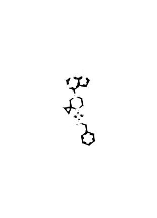 CN(Cc1ccccc1)S(=O)(=O)N1CCN(c2ncnc3[nH]ccc23)CC12CC2